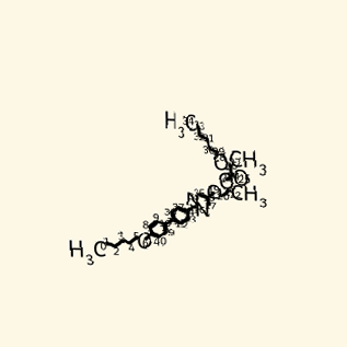 CCCCCCOc1ccc(-c2ccc(-c3ncc(OC[C@H](C)OC(=O)C(C)OCCCCCC)cn3)cc2)cc1